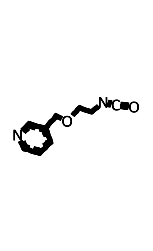 O=C=NCCOCc1cccnc1